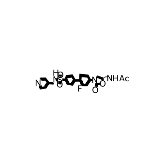 CC(=O)NC[C@H]1CN(c2ccc(-c3ccc(S(=O)(=O)NCc4ccncc4)cc3)c(F)c2)C(=O)O1